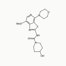 COc1cnc(N2CCOCC2)c2sc(NC(=O)N3CCC(O)CC3)nc12